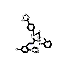 O=C(/C=C/c1cc(Cl)ccc1-n1cnnn1)N[C@@H](Cc1ccccc1F)C(=O)Nc1ccc(-c2nnn[nH]2)cc1